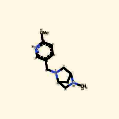 COc1ccc(CN2CC3CC2CN3C)cn1